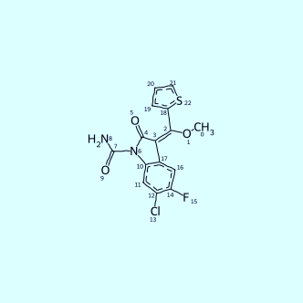 COC(=C1C(=O)N(C(N)=O)c2cc(Cl)c(F)cc21)c1cccs1